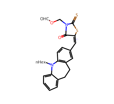 CCCCCCN1c2ccccc2CCc2cc(/C=C3/SC(=S)N(COC=O)C3=O)ccc21